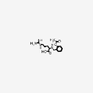 CC(=O)Oc1ccccc1CNC(CCCNC(=N)N)C(=O)O